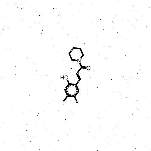 Cc1cc(O)c(/C=C/C(=O)N2CCCCC2)cc1C